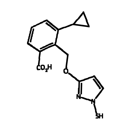 O=C(O)c1cccc(C2CC2)c1COc1ccn(S)n1